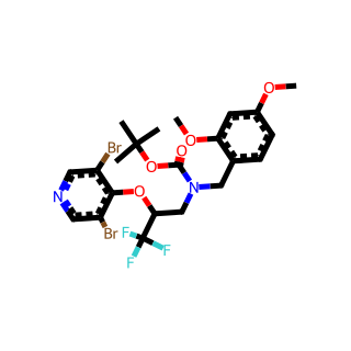 COc1ccc(CN(CC(Oc2c(Br)cncc2Br)C(F)(F)F)C(=O)OC(C)(C)C)c(OC)c1